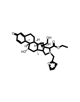 CCOC(=O)C1[C@@H]2C[C@H]3[C@@H]4CCC5=CC(=O)C=C[C@]5(C)[C@H]4[C@@H](O)C[C@]3(C)[C@]2(C(=O)CO)CN1Cc1ccco1